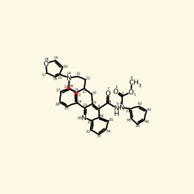 COC(=O)N(NC(=O)c1c(CC2CCN(C3=CCOC=C3)CC2)c(-c2ccccc2)nc2ccccc12)c1ccccc1